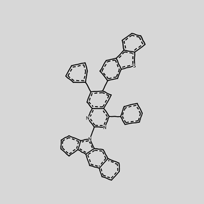 c1ccc(-c2cc3nc(-n4c5ccccc5c5cc6ccccc6cc54)nc(-c4ccccc4)c3cc2-c2ccc3c(c2)sc2ccccc23)cc1